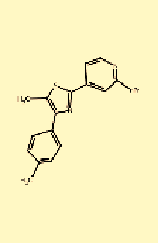 CCCc1cc(-c2nc(-c3ccc(C)cc3)c(C)s2)ccn1